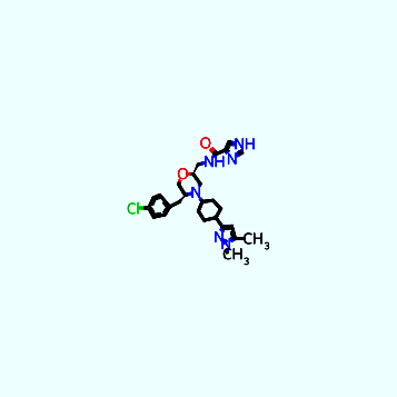 Cc1cc(C2CCC(N3C[C@H](CNC(=O)c4c[nH]cn4)OC[C@@H]3Cc3ccc(Cl)cc3)CC2)nn1C